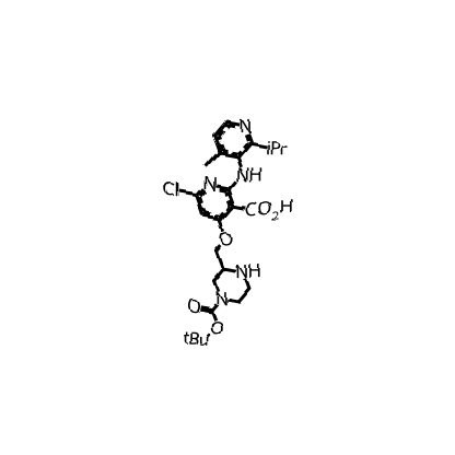 Cc1ccnc(C(C)C)c1Nc1nc(Cl)cc(OCC2CN(C(=O)OC(C)(C)C)CCN2)c1C(=O)O